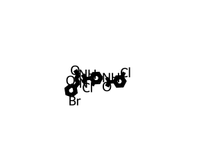 O=C(Nc1ccc(-c2nc3c(oc4ccc(Br)cc43)c(=O)[nH]2)c(Cl)c1)c1cccc(Cl)c1